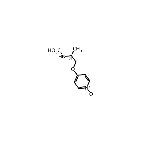 C[C@@H](COc1cc[n+]([O-])cc1)NC(=O)O